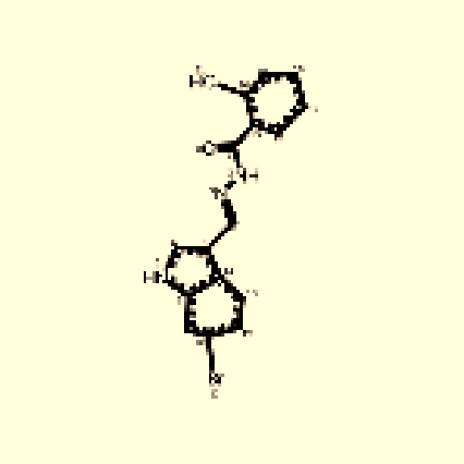 O=C(N/N=C/c1c[nH]c2cc(Br)ccc12)c1ccccc1O